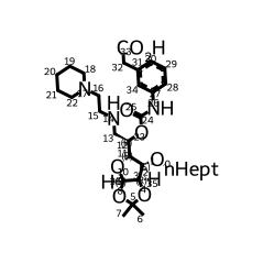 CCCCCCCO[C@@H]1[C@H]2OC(C)(C)O[C@H]2O[C@@H]1[C@@H](CNCCN1CCCCC1)OC(=O)Nc1cccc(CC(=O)O)c1